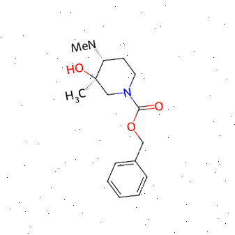 CN[C@@H]1CCN(C(=O)OCc2ccccc2)C[C@@]1(C)O